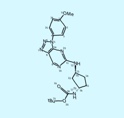 COc1ccc(-n2nnc3cnc(N[C@H]4CC[C@H](NC(=O)OC(C)(C)C)C4)nc32)cc1